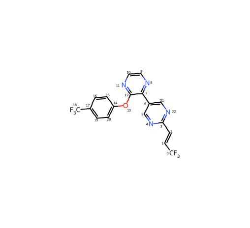 FC(F)(F)/C=C/c1ncc(-c2nccnc2Oc2ccc(C(F)(F)F)cc2)cn1